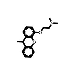 CC1c2ccccc2Oc2c(OCCN(C)C)cccc21